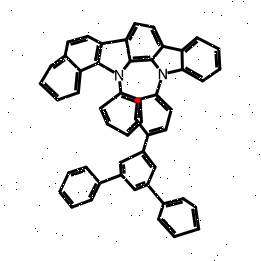 c1ccc(-c2cc(-c3ccccc3)cc(-c3ccc(-n4c5ccccc5c5ccc6c7ccc8ccccc8c7n(-c7ccccc7)c6c54)cc3)c2)cc1